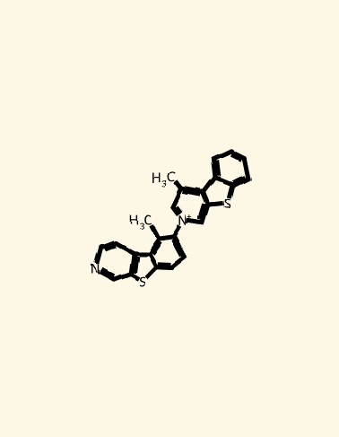 Cc1c[n+](-c2ccc3sc4cnccc4c3c2C)cc2sc3ccccc3c12